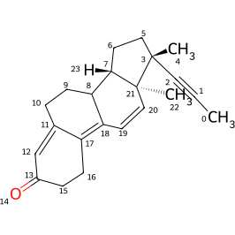 CC#C[C@@]1(C)CC[C@H]2C3CCC4=CC(=O)CCC4=C3C=C[C@@]21C